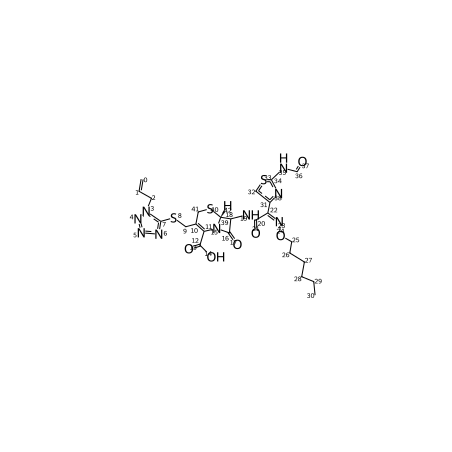 C=CCn1nnnc1SCC1=C(C(=O)O)N2C(=O)C(NC(=O)/C(=N\OCCCCCC)c3csc(NC=O)n3)[C@H]2SC1